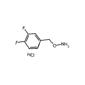 Cl.NOCc1ccc(F)c(F)c1